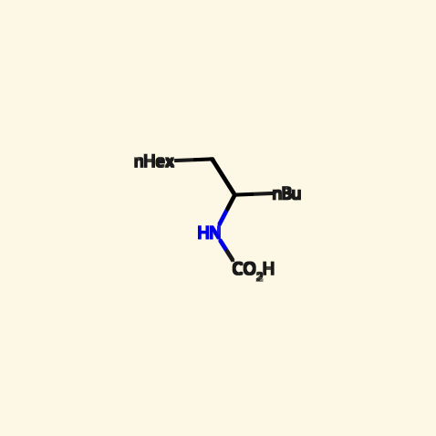 CCCCCCCC(CCCC)NC(=O)O